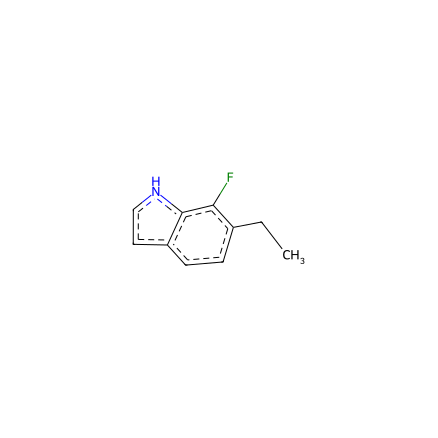 CCc1ccc2cc[nH]c2c1F